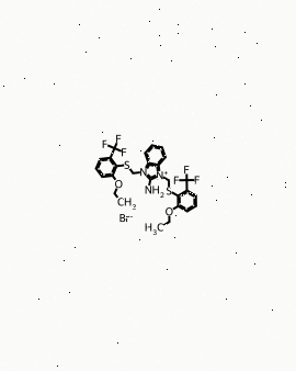 CCOc1cccc(C(F)(F)F)c1SCn1c(N)[n+](CSc2c(OCC)cccc2C(F)(F)F)c2ccccc21.[Br-]